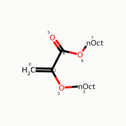 C=C(OCCCCCCCC)C(=O)OCCCCCCCC